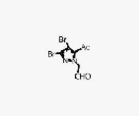 CC(=O)c1c(Br)c(Br)nn1CC=O